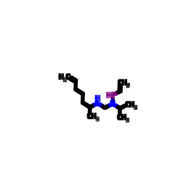 C=CCCCC(C)NCN(PC=C)C(C)C